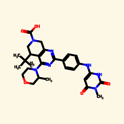 CC1COCCN1c1nc(-c2ccc(Nc3cc(=O)n(C)c(=O)[nH]3)cc2)nc2c1C(C(C)(C)C)CN(C(=O)O)C2